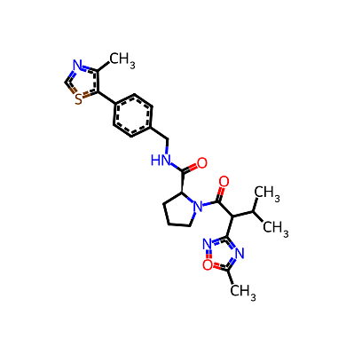 Cc1nc(C(C(=O)N2CCC[C@H]2C(=O)NCc2ccc(-c3scnc3C)cc2)C(C)C)no1